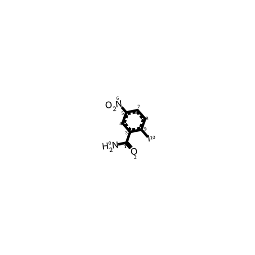 NC(=O)c1cc([N+](=O)[O-])ccc1I